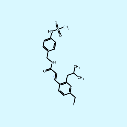 CC(C)Cc1nc(CF)ccc1/C=C/C(=O)NCc1ccc(NS(C)(=O)=O)cc1